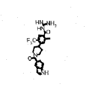 Cc1cc(C2CCN(C(=O)c3ccc4[nH]ccc4c3)CC2)c(C(F)(F)F)cc1C(=O)NC(=N)N